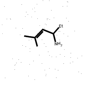 CCC(N)C=C(C)C